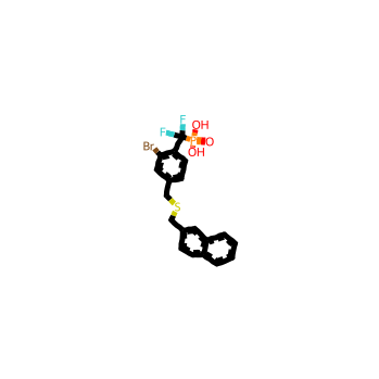 O=P(O)(O)C(F)(F)c1ccc(CSCc2ccc3ccccc3c2)cc1Br